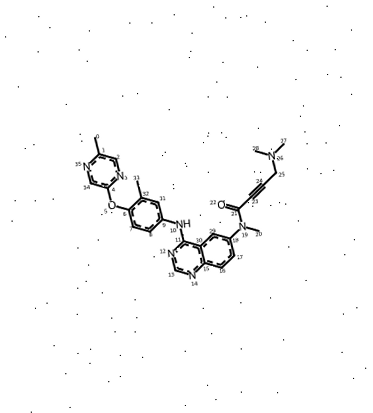 Cc1cnc(Oc2ccc(Nc3ncnc4ccc(N(C)C(=O)C#CCN(C)C)cc34)cc2C)cn1